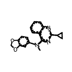 CN(c1ccc2c(c1)OCO2)c1nc(C2CC2)nc2ccccc12